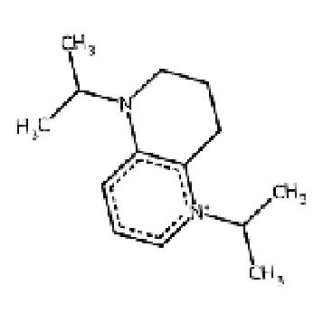 CC(C)N1CCCc2c1ccc[n+]2C(C)C